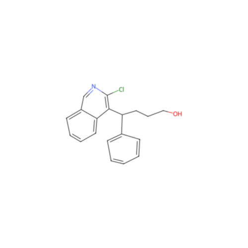 OCCCC(c1ccccc1)c1c(Cl)ncc2ccccc12